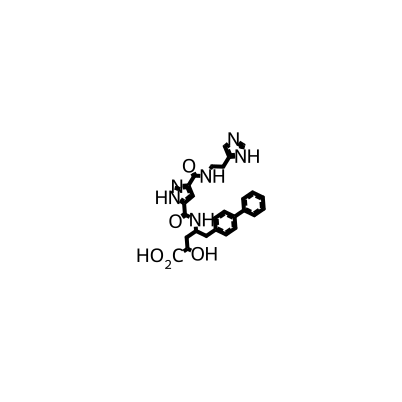 O=C(NCCc1cnc[nH]1)c1cc(C(=O)NC(Cc2ccc(-c3ccccc3)cc2)CC(O)C(=O)O)[nH]n1